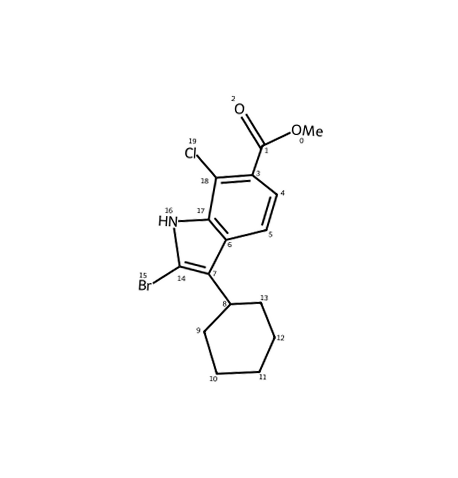 COC(=O)c1ccc2c(C3CCCCC3)c(Br)[nH]c2c1Cl